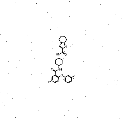 O=C(N[C@H]1CC[C@H](NC(=O)c2cc(F)cnc2Oc2cccc(I)c2)CC1)c1cn2c(n1)CCCC2